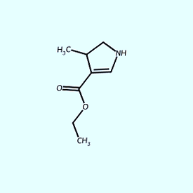 CCOC(=O)C1=CNCC1C